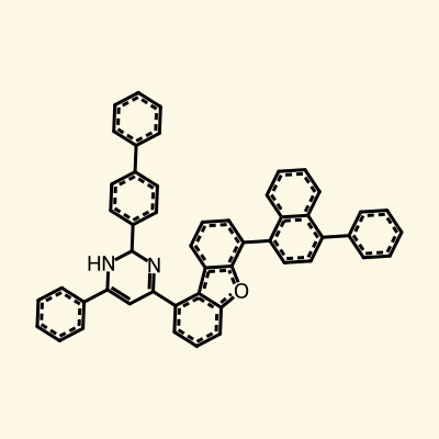 C1=C(c2ccccc2)NC(c2ccc(-c3ccccc3)cc2)N=C1c1cccc2oc3c(-c4ccc(-c5ccccc5)c5ccccc45)cccc3c12